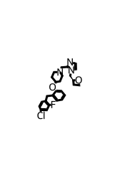 Fc1cc(Cl)ccc1Cc1ccccc1OC1CCN(Cc2nccn2C[C@@H]2CCO2)CC1